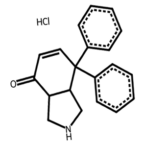 Cl.O=C1C=CC(c2ccccc2)(c2ccccc2)C2CNCC12